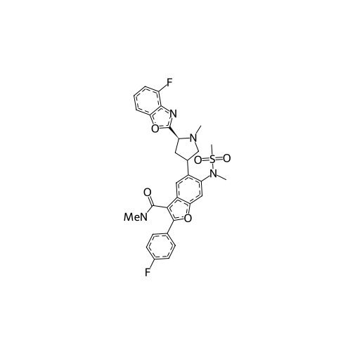 CNC(=O)c1c(-c2ccc(F)cc2)oc2cc(N(C)S(C)(=O)=O)c(C3C[C@@H](c4nc5c(F)cccc5o4)N(C)C3)cc12